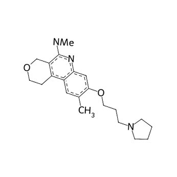 CNc1nc2cc(OCCCN3CCCC3)c(C)cc2c2c1COCC2